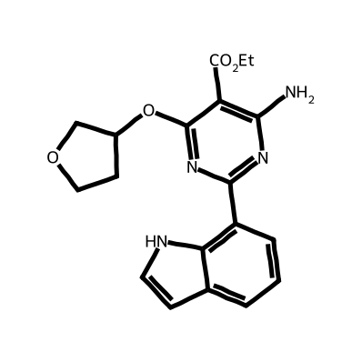 CCOC(=O)c1c(N)nc(-c2cccc3cc[nH]c23)nc1OC1CCOC1